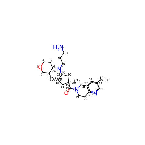 COC1COCC[C@@H]1N(CCCN)[C@@H]1CC[C@@](C(=O)N2CCc3ncc(C(F)(F)F)cc3C2)(C(C)C)C1